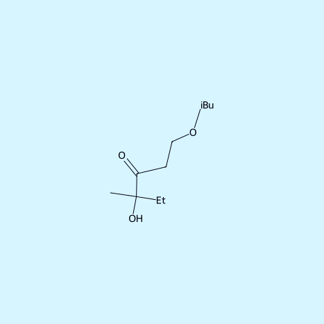 CCC(C)OCCC(=O)C(C)(O)CC